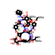 CNCCOc1ccc(C(=O)NC(=O)C[C@@H]2NC(=O)[C@H](NC(=O)[C@@H](CC(C)C)NC)[C@H](O)c3ccc4c(c3)C(O)[C@H]3O[C@@H](Oc5c6cc(cc5O4)[C@@H](NC2=O)C(=O)N[C@H]2C(=O)N[C@H](C(=O)N[C@H](C(=O)NC4C5CC7CC(C5)CC4C7)c4cc(O)cc(O)c4-c4cc2ccc4O)[C@H](O)c2ccc(c(Cl)c2)O6)[C@H](O)[C@@H](O)[C@@H]3O)cc1OCCNC